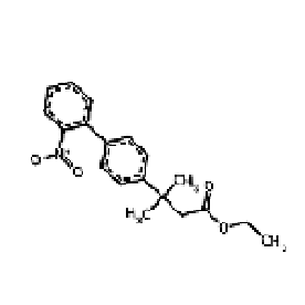 CCOC(=O)CC(C)(C)c1ccc(-c2ccccc2[N+](=O)[O-])cc1